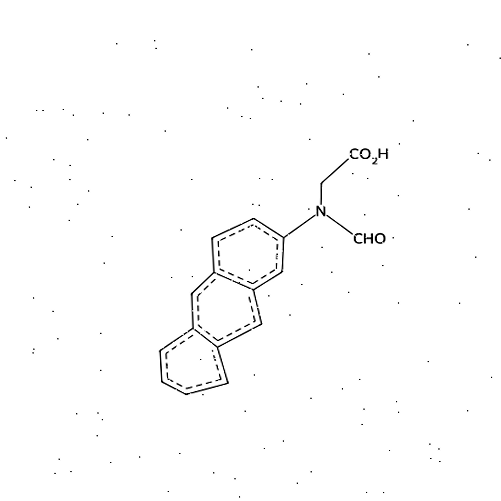 O=CN(CC(=O)O)c1ccc2cc3ccccc3cc2c1